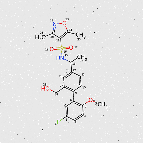 COc1ccc(F)cc1-c1ccc(C(C)NS(=O)(=O)c2c(C)noc2C)cc1CO